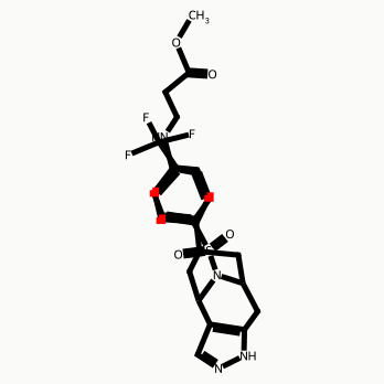 COC(=O)CCNc1ccc(C2CC3Cc4[nH]ncc4C(C2)N3S(=O)(=O)c2ccc(C(F)(F)F)cc2)cc1